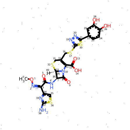 CO/N=C(\C(=O)N[C@@H]1C(=O)N2C(C(=O)O)=C(CSc3nnc(-c4ccc(O)c(O)c4)s3)CS[C@H]12)c1csc(N)n1